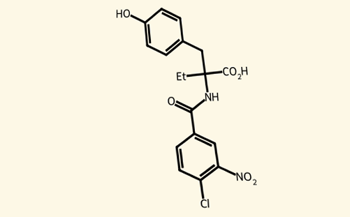 CCC(Cc1ccc(O)cc1)(NC(=O)c1ccc(Cl)c([N+](=O)[O-])c1)C(=O)O